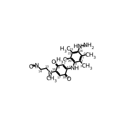 Cc1c(C)c(NC2=CC(=O)C(N(C)CCN=O)=CC2=O)c(C)c(C)c1NN